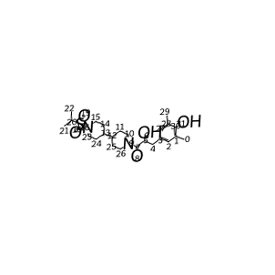 Cc1cc(C[C@@H](O)C(=O)N2CCC(C3CCN(S(=O)(=O)C(C)C)CC3)CC2)cc(C)c1O